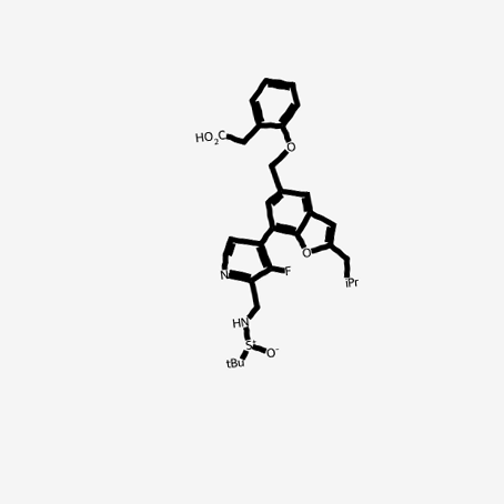 CC(C)Cc1cc2cc(COc3ccccc3CC(=O)O)cc(-c3ccnc(CN[S+]([O-])C(C)(C)C)c3F)c2o1